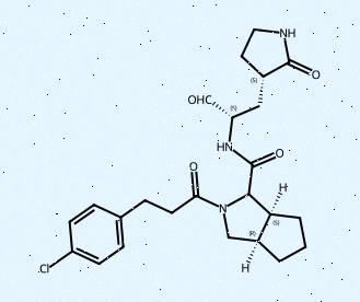 O=C[C@H](C[C@@H]1CCNC1=O)NC(=O)C1[C@H]2CCC[C@H]2CN1C(=O)CCc1ccc(Cl)cc1